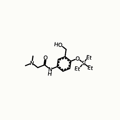 CC[Si](CC)(CC)Oc1ccc(NC(=O)CN(C)C)cc1CO